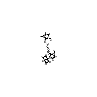 Cn1cc[n+](C)c1/N=N/C=N/N=c1\n(C)ccn1C12CCC1CC2